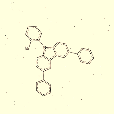 Brc1ccccc1-n1c2ccc(-c3ccccc3)cc2c2cc(-c3ccccc3)ccc21